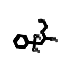 CC(CC(C)(C)c1[c]cccc1)OOC(C)(C)C